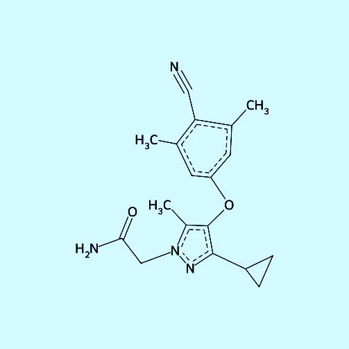 Cc1cc(Oc2c(C3CC3)nn(CC(N)=O)c2C)cc(C)c1C#N